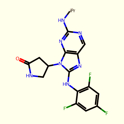 CC(C)Nc1ncc2nc(Nc3c(F)cc(F)cc3F)n(C3CNC(=O)C3)c2n1